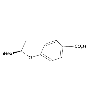 CCCCCC[C@@H](C)Oc1ccc(C(=O)O)cc1